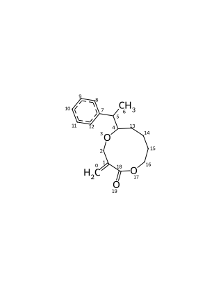 C=C1COC(C(C)c2ccccc2)CCCCOC1=O